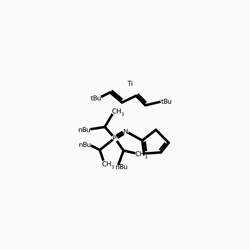 CC(C)(C)C=CC=CC(C)(C)C.CCCCC(C)P(=NC1=CC=CC1)(C(C)CCCC)C(C)CCCC.[Ti]